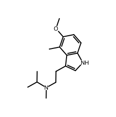 COc1ccc2[nH]cc(CCN(C)C(C)C)c2c1C